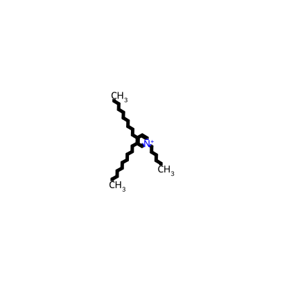 CCCCCCCCCCc1cc[n+](CCCCCC)cc1CCCCCCCCCC